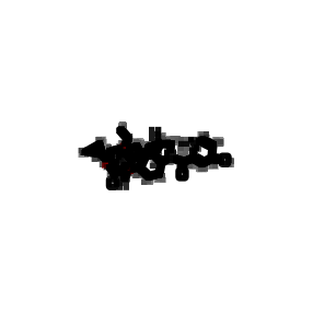 CCc1ccc(O)cc1C12CCN(CC3CC3)C(C)C13CCC1C2[C@@H](CN1C(=O)c1cc(=O)cc[nH]1)C3